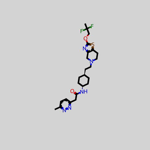 Cc1ccc(CC(=O)N[C@H]2CC[C@H](CCN3CCc4sc(OCC(C)(F)F)nc4C3)CC2)nn1